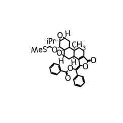 CSCO[C@@H]1[C@@]2(C(C)C)O[C@H]2CC2[C@]13O[C@H]3C[C@H]1C3=C(CC[C@]21C)C(=O)O/C3=C(/OC(=O)c1ccccc1)c1ccccc1